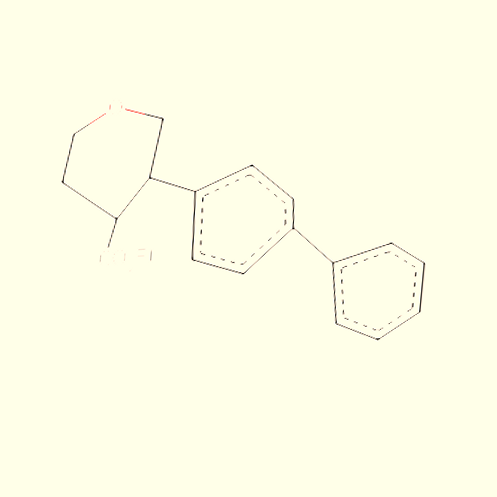 CCOC(=O)C1CCOCC1c1ccc(-c2ccccc2)cc1